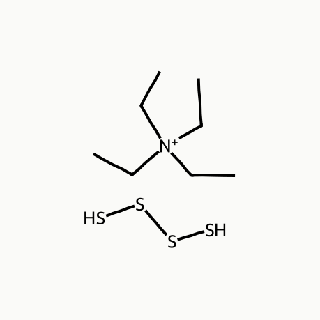 CC[N+](CC)(CC)CC.SSSS